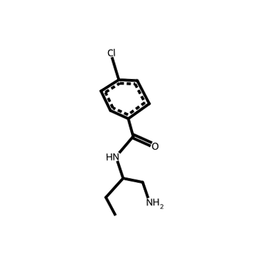 CCC(CN)NC(=O)c1ccc(Cl)cc1